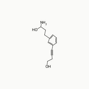 NC(O)CCc1cccc(C#CCCO)c1